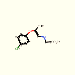 CCOC(=O)CNC=C(C=O)Oc1ccc(Cl)cc1